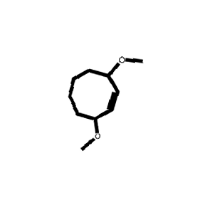 COC1C=CC(OC)CCCC1